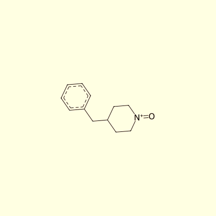 O=[N+]1CCC(Cc2ccccc2)CC1